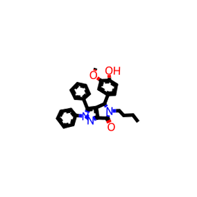 CCCCN1C(=O)c2nn(-c3ccccc3)c(-c3ccccc3)c2C1c1ccc(O)c(OC)c1